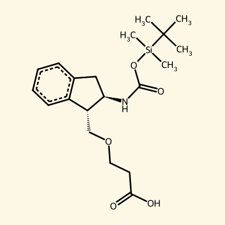 CC(C)(C)[Si](C)(C)OC(=O)N[C@@H]1Cc2ccccc2[C@H]1COCCC(=O)O